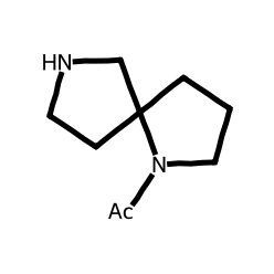 CC(=O)N1CCCC12CCNC2